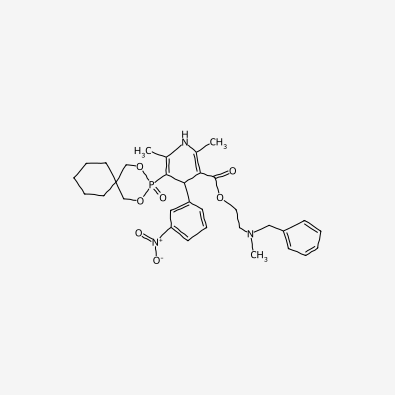 CC1=C(C(=O)OCCN(C)Cc2ccccc2)C(c2cccc([N+](=O)[O-])c2)C(P2(=O)OCC3(CCCCC3)CO2)=C(C)N1